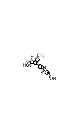 CN1CCc2c(-c3ccc(S(=O)(=O)N4CCN(CCO)CC4)cc3)cc3c(c2C1)NC(=O)/C3=N\O